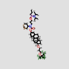 CCCP(OCCCN(C(=O)Oc1ccc2c(c1)CC[C@@H]1[C@@H]2CC[C@]2(C)[C@@H](OCCCOC(C(F)(F)F)(C(F)(F)F)C(F)(F)F)CC[C@@H]12)C1CCSSC1)N(C(C)C)C(C)C